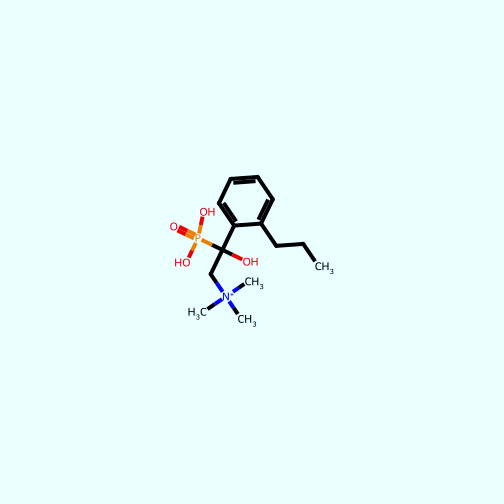 CCCc1ccccc1C(O)(C[N+](C)(C)C)P(=O)(O)O